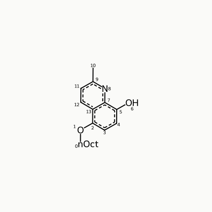 CCCCCCCCOc1ccc(O)c2nc(C)ccc12